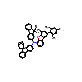 Cc1cc(C)c(-c2cc(C(C)C)c3oc4c(N(c5ccc6c(c5)C(C)(C)c5ccccc5-6)c5ccc6c(c5)C5(CC7CCC5C7)c5ccccc5-6)cccc4c3c2)c(C)c1